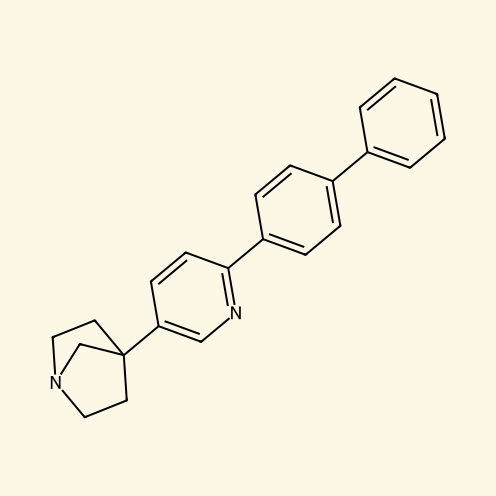 c1ccc(-c2ccc(-c3ccc(C45CCN(CC4)C5)cn3)cc2)cc1